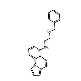 c1ccc(CNCCNc2cccc3c2ncc2cccn23)cc1